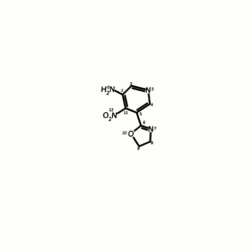 Nc1cncc(C2=NCCO2)c1[N+](=O)[O-]